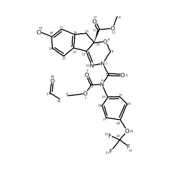 COC(=O)N(C(=O)N1CO[C@@]2(C(=O)OC)Cc3cc(Cl)ccc3C2=N1)c1ccc(OC(F)(F)F)cc1.C[C]=O